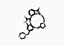 O=c1[nH]c2cc(CN3CCOCC3)cc3c2nc1-c1cccc2c(=O)n([nH]c12)CCN1CC[C@@H](C1)O3